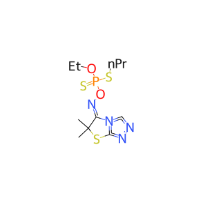 CCCSP(=S)(OCC)ON=C1n2cnnc2SC1(C)C